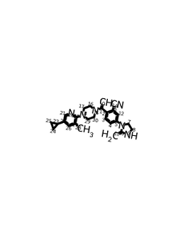 C=C(c1ccc(N2CCNC2=C)cc1C#N)N1CCN(c2ncc(C3CC3)cc2C)CC1